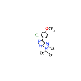 CCc1nc2c(-c3ccc(OC(F)(F)F)cc3Cl)ncnc2n1C(CC)C1CC1